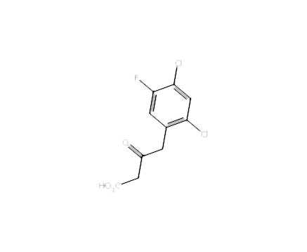 O=C(O)CC(=O)Cc1cc(F)c(Cl)cc1Cl